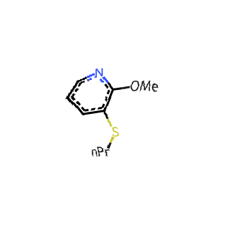 CCCSc1cccnc1OC